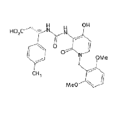 COc1cccc(OC)c1Cn1ccc(O)c(NC(=O)N[C@@H](CC(=O)O)c2ccc(C)cc2)c1=O